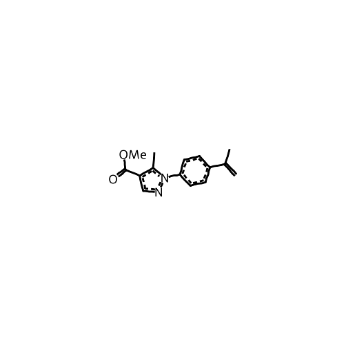 C=C(C)c1ccc(-n2ncc(C(=O)OC)c2C)cc1